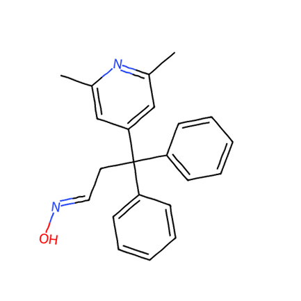 Cc1cc(C(CC=NO)(c2ccccc2)c2ccccc2)cc(C)n1